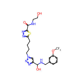 O=C(NCCO)c1nnc(CCCCn2cc(C(O)NCc3cccc(OC(F)(F)F)c3)nn2)s1